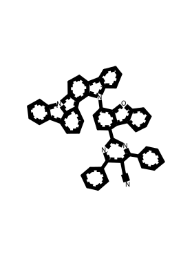 N#Cc1c(-c2ccccc2)nc(-c2ccc(-n3c4ccccc4c4ccc5c(c6cccc7c8ccccc8n5c76)c43)c3oc4ccccc4c23)nc1-c1ccccc1